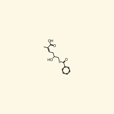 CC(=CCC(O)CSC(=O)c1ccccc1)C(=O)O